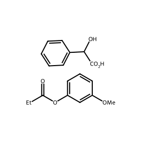 CCC(=O)Oc1cccc(OC)c1.O=C(O)C(O)c1ccccc1